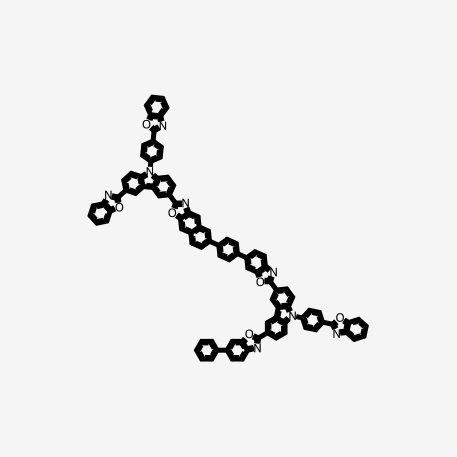 c1ccc(-c2ccc3nc(-c4ccc5c(c4)c4cc(-c6nc7ccc(-c8ccc(-c9ccc%10cc%11oc(-c%12ccc%13c(c%12)c%12cc(-c%14nc%15ccccc%15o%14)ccc%12n%13-c%12ccc(-c%13nc%14ccccc%14o%13)cc%12)nc%11cc%10c9)cc8)cc7o6)ccc4n5-c4ccc(-c5nc6ccccc6o5)cc4)oc3c2)cc1